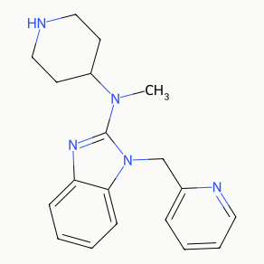 CN(c1nc2ccccc2n1Cc1ccccn1)C1CCNCC1